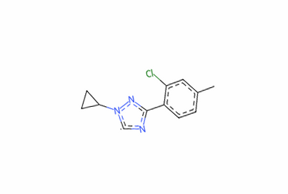 Cc1ccc(-c2n[c]n(C3CC3)n2)c(Cl)c1